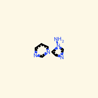 Nn1ccnc1.c1cncnc1